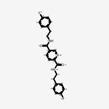 O=C(NCCc1ccc(F)cc1)c1ccc(C(=O)NCCc2ccc(F)cc2)nc1